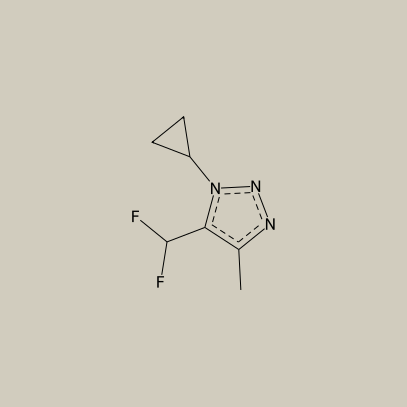 Cc1nnn(C2CC2)c1C(F)F